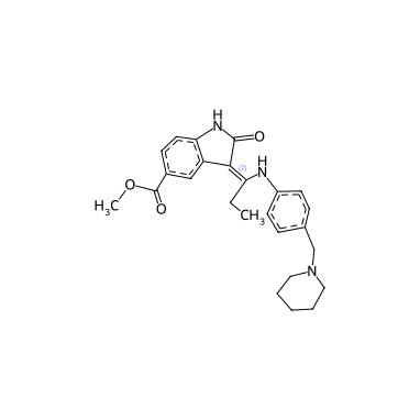 CC/C(Nc1ccc(CN2CCCCC2)cc1)=C1/C(=O)Nc2ccc(C(=O)OC)cc21